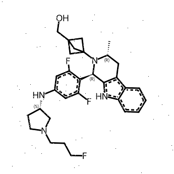 C[C@@H]1Cc2c([nH]c3ccccc23)[C@@H](c2c(F)cc(N[C@H]3CCN(CCCF)C3)cc2F)N1C12CC(CO)(C1)C2